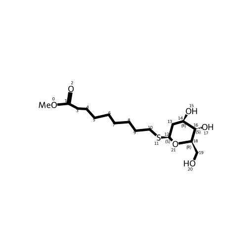 COC(=O)CCCCCCCCS[C@H]1C[C@@H](O)[C@H](O)[C@@H](CO)O1